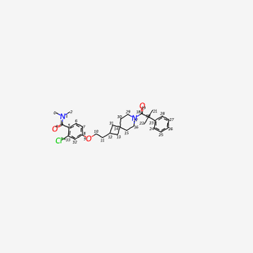 CN(C)C(=O)c1ccc(OCCC2CC3(CCN(C(=O)C(C)(C)c4ccccc4)CC3)C2)cc1Cl